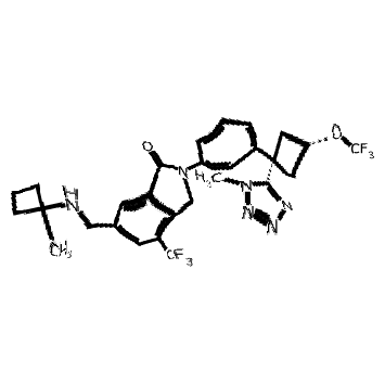 Cn1nnnc1[C@]1(c2cccc(N3Cc4c(cc(CNC5(C)CCC5)cc4C(F)(F)F)C3=O)c2)C[C@H](OC(F)(F)F)C1